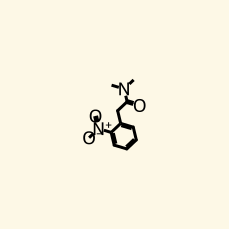 CN(C)C(=O)Cc1ccccc1[N+](=O)[O-]